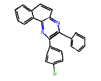 Brc1ccc(-c2nc3c(ccc4ccccc43)nc2-c2ccccc2)cc1